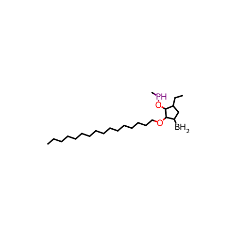 BC1CC(CC)C(OPC)C1OCCCCCCCCCCCCCCCC